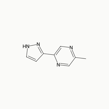 Cc1cnc(-c2cc[nH]n2)cn1